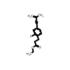 C=C(C)C#Cc1ccc(CCC(=O)OCC)c(F)c1